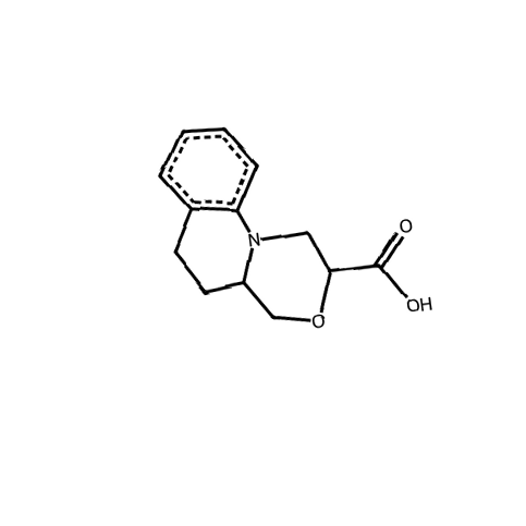 O=C(O)C1CN2c3ccccc3CCC2CO1